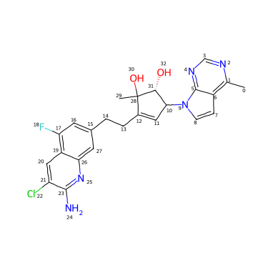 Cc1ncnc2c1ccn2C1C=C(CCc2cc(F)c3cc(Cl)c(N)nc3c2)C(C)(O)[C@@H]1O